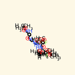 COc1c(F)cc(C(NC(=O)N2CCN(C3CCN(C(=O)c4cccc(CNC(=O)OC(C)(C)C)c4)CC3)C2=O)C(=O)N[C@@H](Cc2ccc(F)c(C(=O)OC(C)(C)C)c2OC)B2O[C@@H]3C[C@@H]4C[C@@H](C4(C)C)[C@]3(C)O2)c(Cl)c1OC